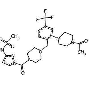 CC(=O)N1CCN(c2cc(C(F)(F)F)ccc2CN2CCN(C(=O)n3ccc(NS(C)(=O)=O)n3)CC2)CC1